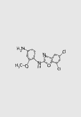 COc1cc(N)ccc1Nc1nc2cc(Cl)cc(Cl)c2o1